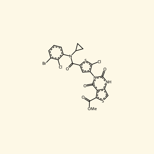 COC(=O)c1scc2[nH]c(=O)n(-c3cc(C(=O)N(c4cccc(Br)c4Cl)C4CC4)sc3Cl)c(=O)c12